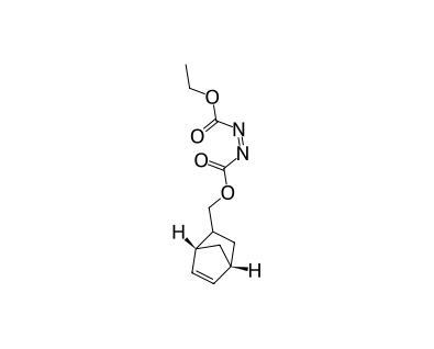 CCOC(=O)/N=N\C(=O)OCC1C[C@@H]2C=C[C@H]1C2